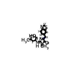 CC(C)CC(CO)NC1=N/C(=C\c2ccc3ncsc3c2)C(=O)N1C